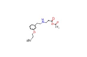 CC(C)(C)CCOc1cccc(CCNCCC(=O)OC(=O)C(F)(F)F)c1